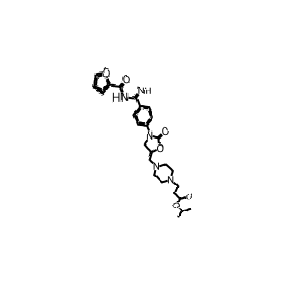 CC(C)OC(=O)CCN1CCN(CC2CN(c3ccc(C(=N)NC(=O)c4ccco4)cc3)C(=O)O2)CC1